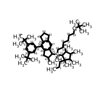 CCCC1(C)C(C)C(C)C(C)C1[Si](C)(CCCCCCOC(C)(C)C)C1c2cc3c(c(-c4cc(C(C)(C)C)cc(C(C)(C)C)c4)c2CC1C)CCC3